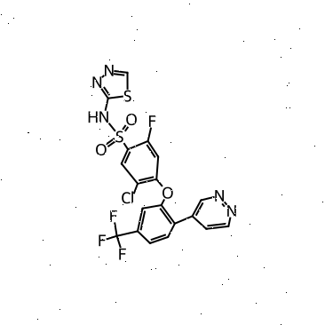 O=S(=O)(Nc1nncs1)c1cc(Cl)c(Oc2cc(C(F)(F)F)ccc2-c2ccnnc2)cc1F